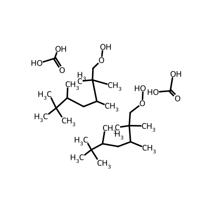 CC(CC(C)C(C)(C)COO)C(C)(C)C.CC(CC(C)C(C)(C)COO)C(C)(C)C.O=C(O)O.O=C(O)O